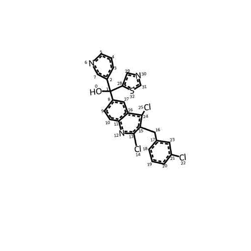 OC(c1cccnc1)(c1ccc2nc(Cl)c(Cc3cccc(Cl)c3)c(Cl)c2c1)c1cncs1